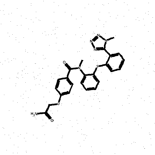 CN(C(=O)c1ccc(OCC(N)=O)cc1)c1ccccc1Sc1ccccc1-c1nnnn1C